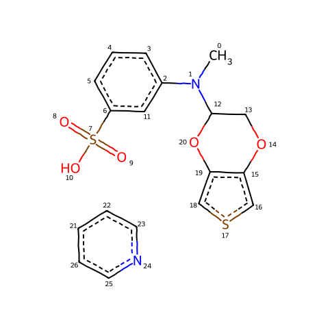 CN(c1cccc(S(=O)(=O)O)c1)C1COc2cscc2O1.c1ccncc1